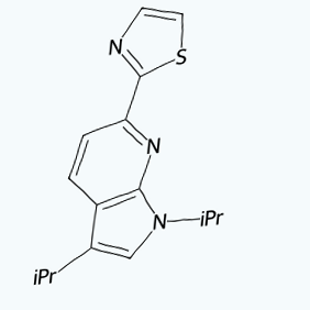 CC(C)c1cn(C(C)C)c2nc(-c3nccs3)ccc12